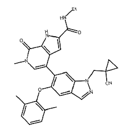 CCNC(=O)c1cc2c(-c3cc4c(cnn4CC4(C#N)CC4)cc3Oc3c(C)cccc3C)cn(C)c(=O)c2[nH]1